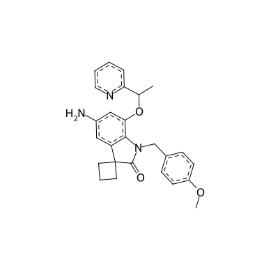 COc1ccc(CN2C(=O)C3(CCC3)c3cc(N)cc(OC(C)c4ccccn4)c32)cc1